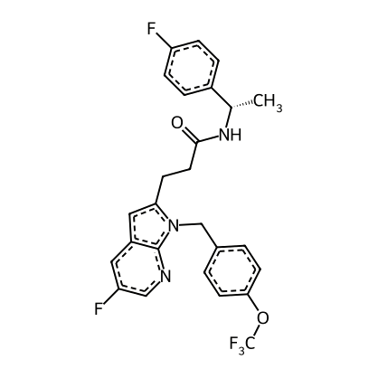 C[C@H](NC(=O)CCc1cc2cc(F)cnc2n1Cc1ccc(OC(F)(F)F)cc1)c1ccc(F)cc1